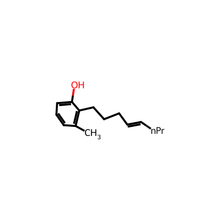 CCCC=CCCCc1c(C)cccc1O